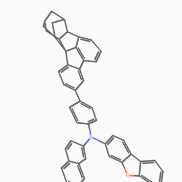 c1cc2c3c(c1)C1C4CC5CC(C4)C3(c3ccc(-c4ccc(N(c6ccc7ccccc7c6)c6ccc7c(c6)oc6ccccc67)cc4)cc3-2)C1C5